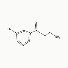 NCCC(=O)c1cccc(Cl)c1